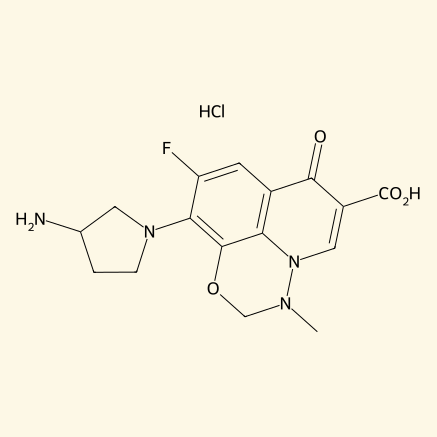 CN1COc2c(N3CCC(N)C3)c(F)cc3c(=O)c(C(=O)O)cn1c23.Cl